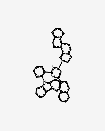 c1ccc(-n2c3ccccc3c3ccccc32)c(-c2nc(-c3ccc4ccccc4c3)nc(-c3ccc4ccc5c6ccccc6ccc5c4c3)n2)c1